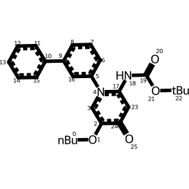 CCCCOc1cn(-c2cccc(-c3ccccc3)c2)c(NC(=O)OC(C)(C)C)cc1=O